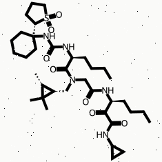 CCCC[C@H](NC(=O)CN(C[C@H]1[C@@H](C)C1(C)C)C(=O)[C@H](CCCC)NC(=O)NC1([C@@H]2CCCS2(=O)=O)CCCCC1)C(=O)C(=O)NC1CC1